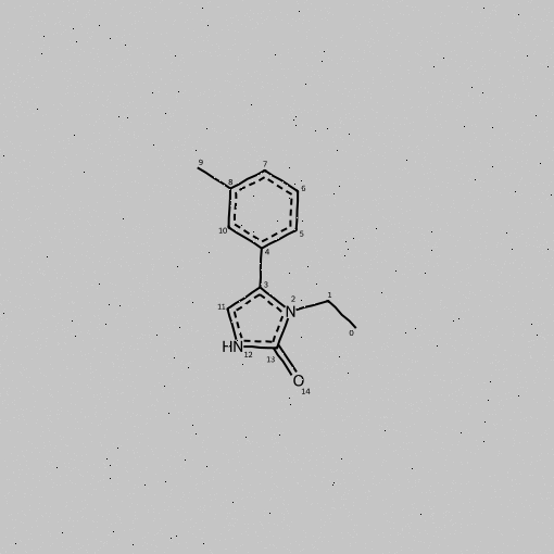 CCn1c(-c2cccc(C)c2)c[nH]c1=O